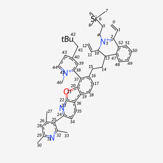 C=CC1=[N+](CC[Si](C)(C)C)C(C=C)C(CCc2ccc3c(oc4nc(-c5c(C)cc(C)nc5C)ccc43)c2-c2cc(CC(C)(C)C)cc[n+]2C)c2ccccc21